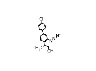 CCC(C)c1ccc(-c2ccc(Cl)cc2)cc1N=[N+]=[N-]